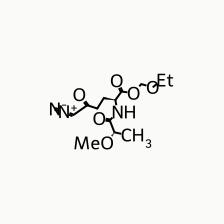 CCOCOC(=O)[C@H](CCC(=O)C=[N+]=[N-])NC(=O)[C@H](C)OC